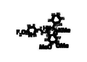 CNC(=O)[C@H](N[C@@H](CCc1ccc(C(F)(F)F)nc1)c1ccc(OC)c(OC)c1)c1ccccc1